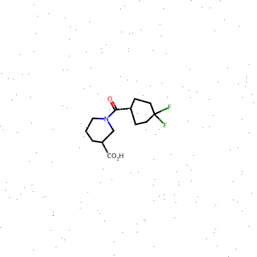 O=C(O)C1CCCN(C(=O)C2CCC(F)(F)CC2)C1